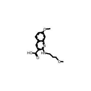 COCCCNc1nc2cc(OC)ccc2cc1C(=O)O